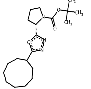 CC(C)(C)OC(=O)N1CCC[C@H]1c1nnc(C2CCCCCCCC2)o1